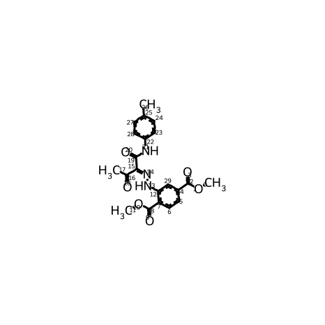 COC(=O)c1ccc(C(=O)OC)c(N/N=C(\C(C)=O)C(=O)Nc2ccc(C)cc2)c1